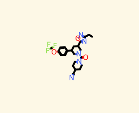 CCc1noc(C2CC(c3ccc(OC(F)(F)F)cc3)CN(C(=O)N3CCC(C#N)CC3)C2)n1